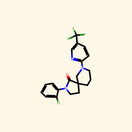 O=C1N(c2ccccc2Cl)CCC12CCCN(c1ccc(C(F)(F)F)cn1)C2